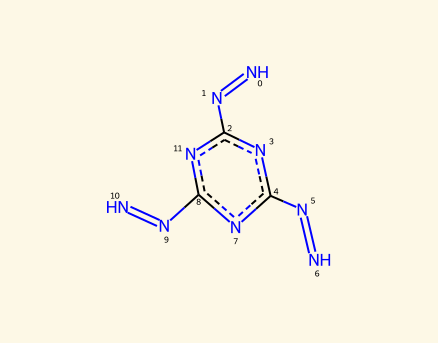 N=Nc1nc(N=N)nc(N=N)n1